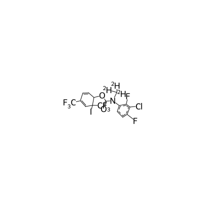 [2H]C([2H])([2H])N(C(=O)OC1C=CC(C(F)(F)F)=CC1(I)C(F)(F)F)c1ccc(F)c(Cl)c1F